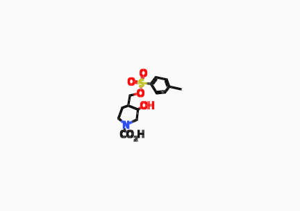 Cc1ccc(S(=O)(=O)OCC2CCN(C(=O)O)CC2O)cc1